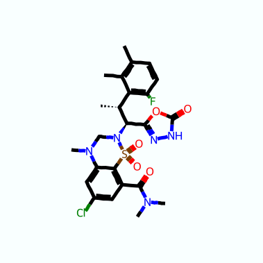 Cc1ccc(F)c([C@@H](C)[C@@H](c2n[nH]c(=O)o2)N2CN(C)c3cc(Cl)cc(C(=O)N(C)C)c3S2(=O)=O)c1C